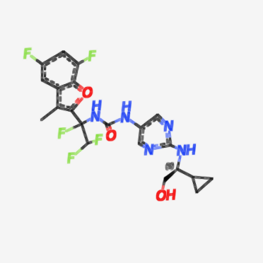 Cc1c(C(F)(NC(=O)Nc2cnc(N[C@H](CO)C3CC3)nc2)C(F)F)oc2c(F)cc(F)cc12